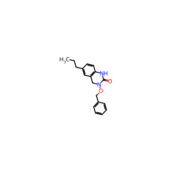 CCCc1ccc2c(c1)CN(OCc1ccccc1)C(=O)N2